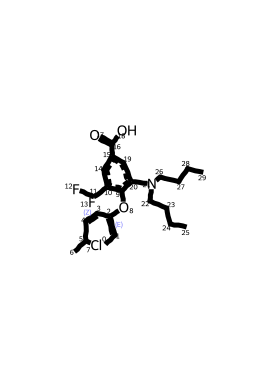 C/C=C(\C=C/C(C)Cl)Oc1c(C(F)F)cc(C(=O)O)cc1N(CCCC)CCCC